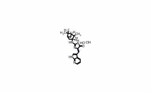 C[C@@H]1[C@H]2CC(C[C@H]1NC1=N/C(=C\c3c[nH]c4ncccc34)C(=O)N1)C2(C)C.Cl.Cl